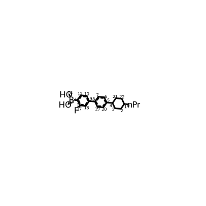 CCCC1CCC(c2ccc(-c3ccc(B(O)O)c(F)c3)cc2)CC1